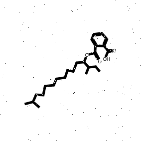 CCC(C)C(CCCCCCCCCC(C)C)OC(=O)c1ccccc1C(=O)O